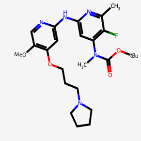 COc1cnc(Nc2cc(N(C)C(=O)OC(C)(C)C)c(F)c(C)n2)cc1OCCCN1CCCC1